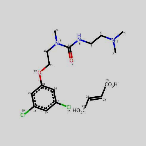 CN(C)CCNC(=O)N(C)CCOc1cc(Cl)cc(Cl)c1.O=C(O)C=CC(=O)O